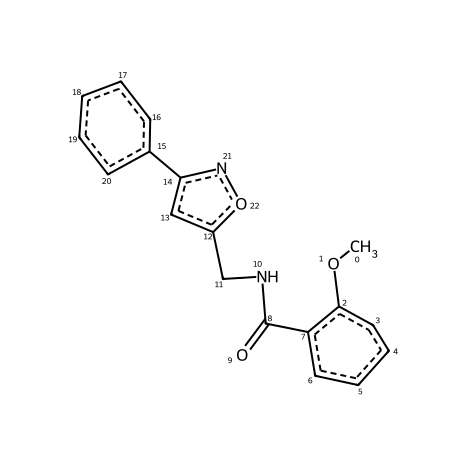 COc1ccccc1C(=O)NCc1cc(-c2ccccc2)no1